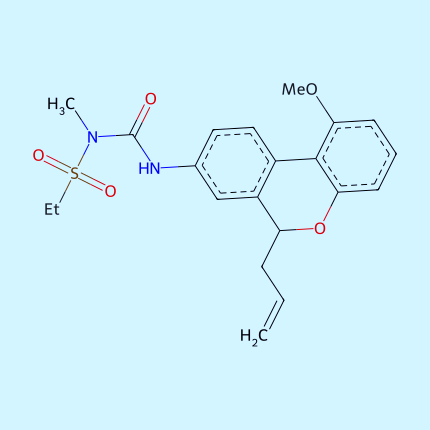 C=CCC1Oc2cccc(OC)c2-c2ccc(NC(=O)N(C)S(=O)(=O)CC)cc21